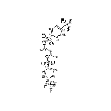 CC(CC(C)OS(=O)(=O)c1ccc(C(F)(F)F)cc1)OS(=O)(=O)c1ccc(C(F)(F)F)cc1